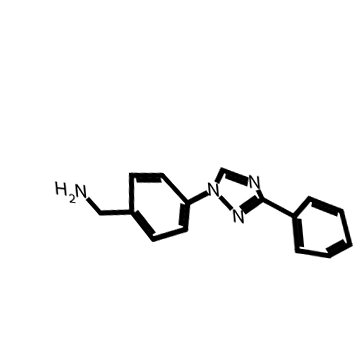 NCc1ccc(-n2cnc(-c3ccccc3)n2)cc1